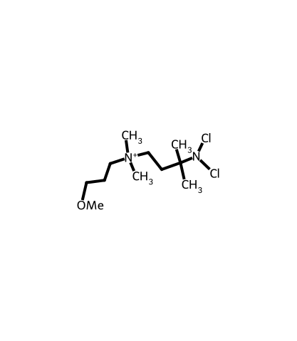 COCCC[N+](C)(C)CCC(C)(C)N(Cl)Cl